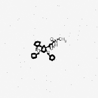 CCNC(=O)c1cc(-c2cc(-c3ccccc3F)c(OCc3ccccc3)cc2OCc2ccccc2)on1